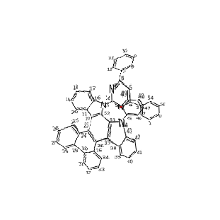 c1ccc(-c2cc(-c3ccccc3)nc(-n3c4ccccc4c4c5c6ccccc6c6ccccc6c5c5c6ccccc6n(-c6ccccc6)c5c43)n2)cc1